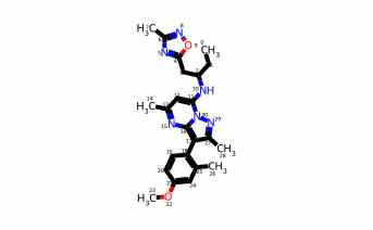 CCC(Cc1nc(C)no1)Nc1cc(C)nc2c(-c3ccc(OC)cc3C)c(C)nn12